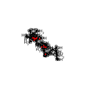 CC(C)C[C@H](NC(=O)[C@H](Cc1ccc(O)cc1)NC(=O)[C@H](CO)NC(=O)[C@H](CO)NC(=O)[C@@H](NC(=O)[C@H](CC(=O)O)NC(=O)[C@H](CO)NC(=O)[C@@H](NC(=O)[C@H](Cc1ccccc1)NC(=O)[C@@H](NC(=O)CNC(=O)[C@H](CCC(=O)O)NC(=O)C(C)(C)NC(=O)[C@@H](N)Cc1c[nH]cn1)[C@@H](C)O)[C@@H](C)O)C(C)C)C(=O)N[C@@H](CCC(=O)O)C(=O)N[C@@H](CCC(=O)O)C(=O)N[C@@H](CCC(N)=O)C(=O)N[C@@H](C)C(=O)N[C@@H](C)C(=O)O